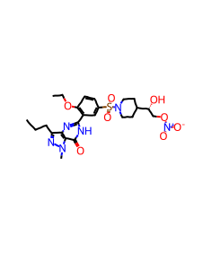 CCCc1nn(C)c2c(=O)[nH]c(-c3cc(S(=O)(=O)N4CCC([C@H](O)CO[N+](=O)[O-])CC4)ccc3OCC)nc12